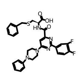 O=C(N[C@@H](CSCc1ccccc1)C(=O)O)c1cc(N2CCN(c3ccccc3)CC2)nc(-c2ccc(F)c(F)c2)n1